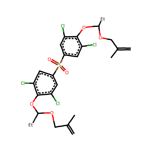 C=C(C)COC(CC)Oc1c(Cl)cc(S(=O)(=O)c2cc(Cl)c(OC(CC)OCC(=C)C)c(Cl)c2)cc1Cl